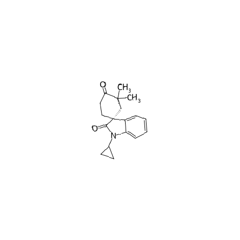 CC1(C)C[C@@]2(CCC1=O)C(=O)N(C1CC1)c1ccccc12